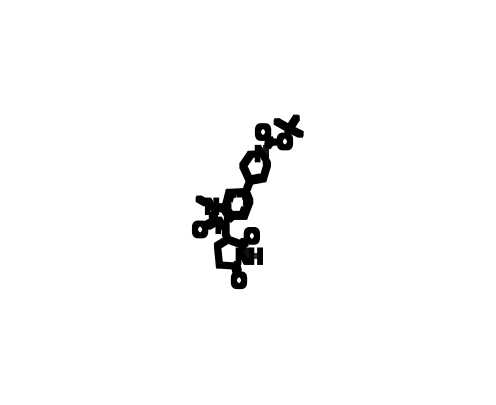 Cn1c(=O)n(C2CCC(=O)NC2=O)c2ccc(C3=CCN(C(=O)OC(C)(C)C)CC3)cc21